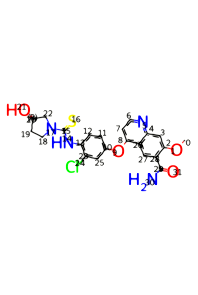 COc1cc2nccc(Oc3ccc(NC(=S)N4CC[C@@H](O)C4)c(Cl)c3)c2cc1C(N)=O